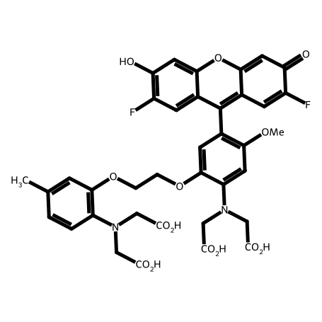 COc1cc(N(CC(=O)O)CC(=O)O)c(OCCOc2cc(C)ccc2N(CC(=O)O)CC(=O)O)cc1-c1c2cc(F)c(=O)cc-2oc2cc(O)c(F)cc12